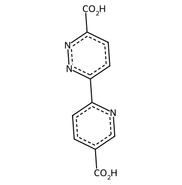 O=C(O)c1ccc(-c2ccc(C(=O)O)nn2)nc1